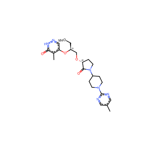 COC[C@@H](CO[C@@H]1CCN(C2CCN(c3ncc(C)cn3)CC2)C1=O)Oc1cn[nH]c(=O)c1C